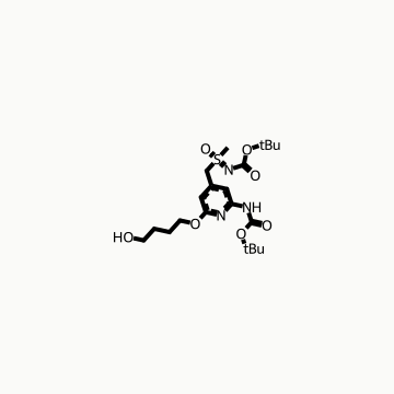 CC(C)(C)OC(=O)N=S(C)(=O)Cc1cc(NC(=O)OC(C)(C)C)nc(OCCCCO)c1